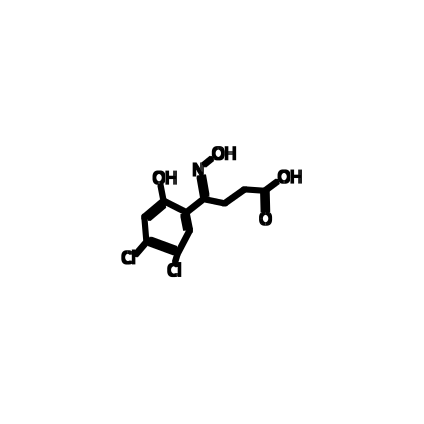 O=C(O)CCC(=NO)c1cc(Cl)c(Cl)cc1O